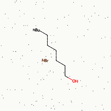 Br.CCCCCCCCCCO